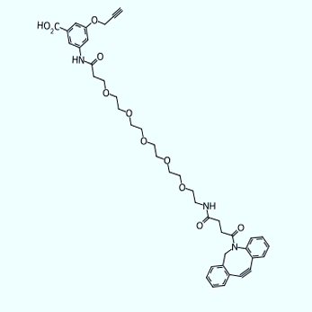 C#CCOc1cc(NC(=O)CCOCCOCCOCCOCCOCCNC(=O)CCC(=O)N2Cc3ccccc3C#Cc3ccccc32)cc(C(=O)O)c1